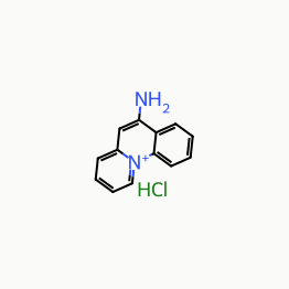 Cl.Nc1cc2cccc[n+]2c2ccccc12